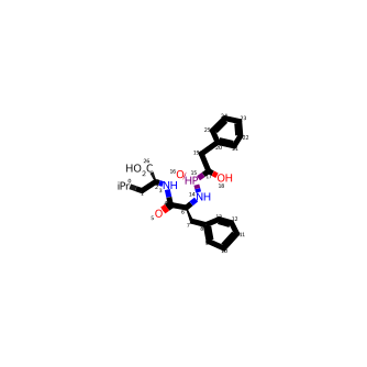 CC(C)C[C@H](NC(=O)[C@H](Cc1ccccc1)N[PH](=O)C(O)Cc1ccccc1)C(=O)O